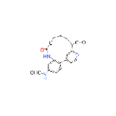 O=CNc1ccc2c(c1)NC(=O)CCCCC(C=O)c1cc-2ccn1